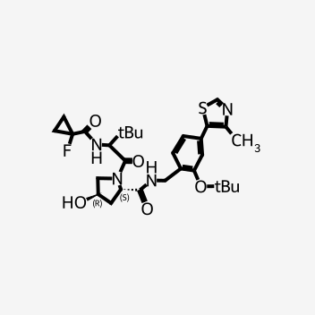 Cc1ncsc1-c1ccc(CNC(=O)[C@@H]2C[C@@H](O)CN2C(=O)C(NC(=O)C2(F)CC2)C(C)(C)C)c(OC(C)(C)C)c1